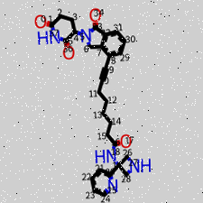 O=C1CCC(N2Cc3c(C#CCCCCCC(=O)NC4(c5ccccn5)CNC4)cccc3C2=O)C(=O)N1